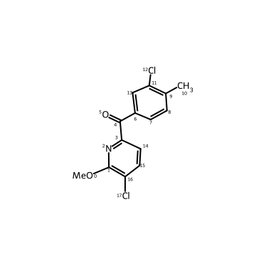 COc1nc(C(=O)c2ccc(C)c(Cl)c2)ccc1Cl